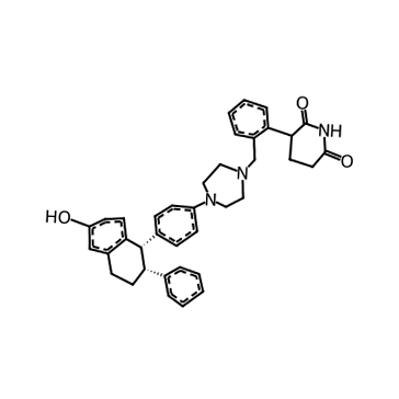 O=C1CCC(c2ccccc2CN2CCN(c3ccc([C@H]4c5ccc(O)cc5CC[C@H]4c4ccccc4)cc3)CC2)C(=O)N1